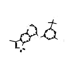 CC1=CS(=O)(=O)c2cc3c(Nc4cc(O)cc(C(F)(F)F)c4)ccnc3cc21